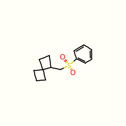 O=S(=O)(CC1CCC12CCC2)c1ccccc1